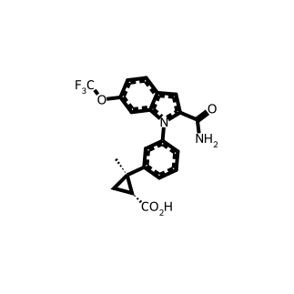 C[C@@]1(c2cccc(-n3c(C(N)=O)cc4ccc(OC(F)(F)F)cc43)c2)C[C@H]1C(=O)O